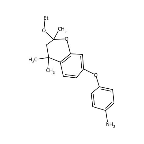 CCOC1(C)CC(C)(C)c2ccc(Oc3ccc(N)cc3)cc2O1